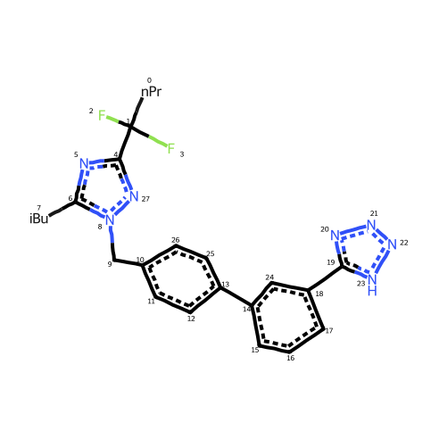 CCCC(F)(F)c1nc(C(C)CC)n(Cc2ccc(-c3cccc(-c4nnn[nH]4)c3)cc2)n1